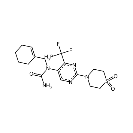 NC(=O)N(CC1=CCCCC1)c1cnc(N2CCS(=O)(=O)CC2)nc1C(F)(F)P